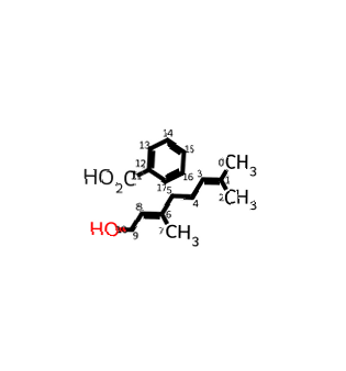 CC(C)=CCC/C(C)=C/CO.O=C(O)c1ccccc1